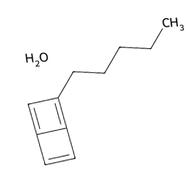 CCCCCc1cc2ccc1-2.O